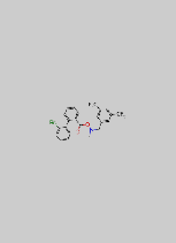 CN(Cc1cc(C(F)(F)F)cc(C(F)(F)F)c1)OC(=O)c1ccccc1-c1ccccc1Br